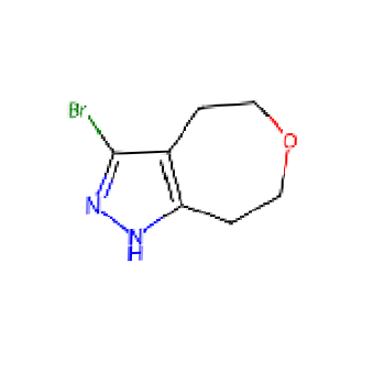 Brc1n[nH]c2c1CCOCC2